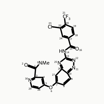 CNC(=O)c1cc(Oc2ccc3nnc(NC(=O)c4ccc(C(F)(F)F)c(Cl)c4)nc3c2)ccn1